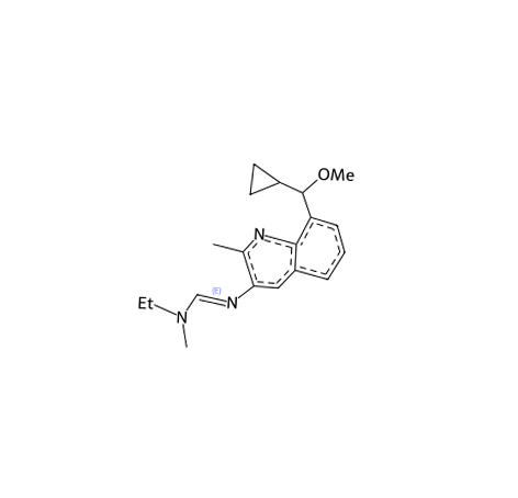 CCN(C)/C=N/c1cc2cccc(C(OC)C3CC3)c2nc1C